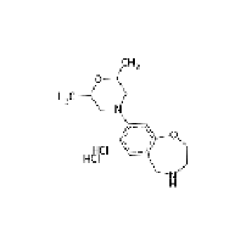 CC1CN(c2ccc3c(c2)OCCNC3)CC(C)O1.Cl.Cl